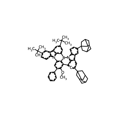 COc1c(-c2ccccc2)cc2c3c1-c1cc(C45CC6CC(CC(C6)C4)C5)cc4c5cc(C67CC8CC(CC(C8)C6)C7)ccc5n(c14)B3c1cc(C(C)(C)C)cc3c4cc(C(C)(C)C)ccc4n-2c13